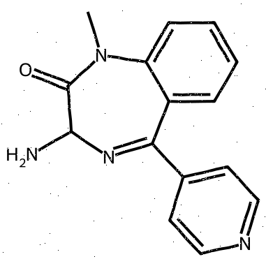 CN1C(=O)C(N)N=C(c2ccncc2)c2ccccc21